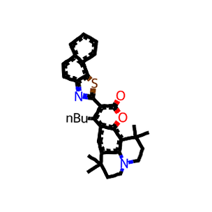 CCCCc1c(-c2nc3ccc4ccccc4c3s2)c(=O)oc2c3c4c(cc12)C(C)(C)CCN4CCC3(C)C